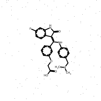 CN(C)Cc1ccc(N/C(=C2\C(=O)Nc3cc(F)ccc32)c2cccc(OCC(=O)O)c2)cc1